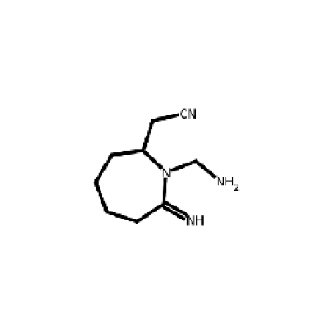 N#CCC1CCCCC(=N)N1CN